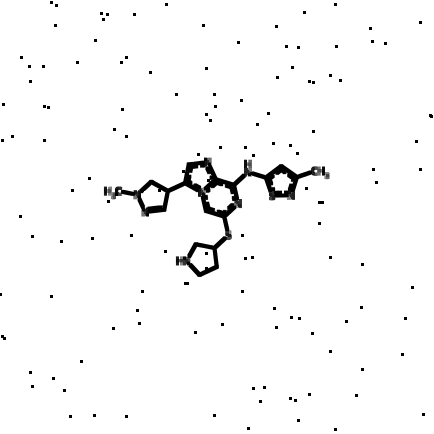 Cc1cc(Nc2nc(SC3CCNC3)cn3c(C4C=NN(C)C4)cnc23)sn1